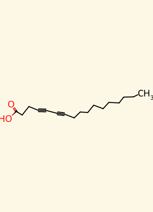 CCCCCCCCCCC#CC#CCCC(=O)O